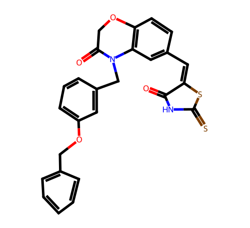 O=C1NC(=S)SC1=Cc1ccc2c(c1)N(Cc1cccc(OCc3ccccc3)c1)C(=O)CO2